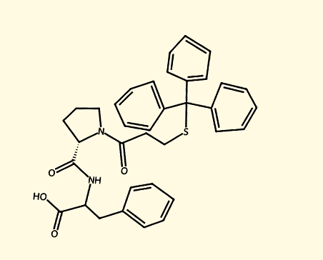 O=C(O)C(Cc1ccccc1)NC(=O)[C@@H]1CCCN1C(=O)CCSC(c1ccccc1)(c1ccccc1)c1ccccc1